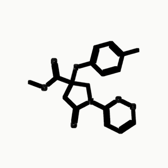 COC(=O)C1(Sc2ccc(C)cc2)CC(=O)N(C2=CC=COO2)C1